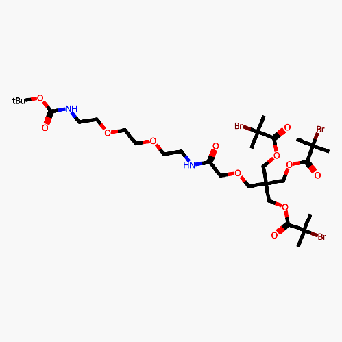 CC(C)(C)OC(=O)NCCOCCOCCNC(=O)COCC(COC(=O)C(C)(C)Br)(COC(=O)C(C)(C)Br)COC(=O)C(C)(C)Br